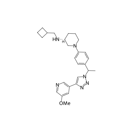 COc1cncc(-c2cn(C(C)c3ccc(N4CCC[C@@H](NCC5CCC5)C4)cc3)nn2)c1